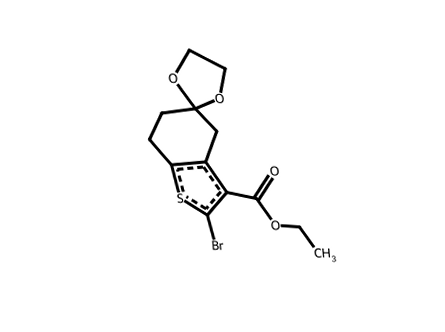 CCOC(=O)c1c(Br)sc2c1CC1(CC2)OCCO1